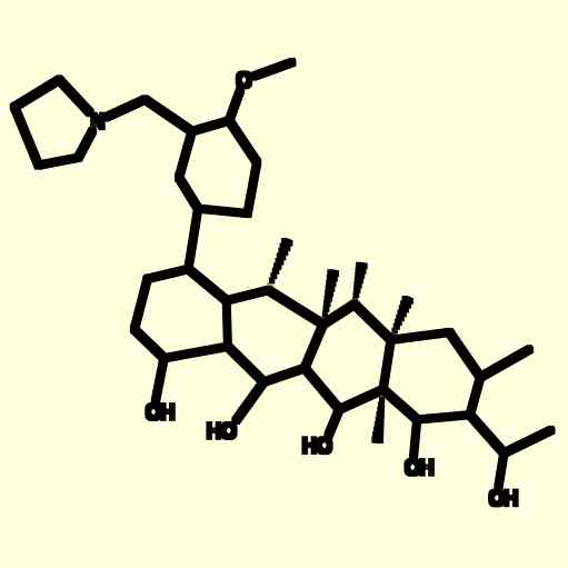 COC1CCC(C2CCC(O)C3C(O)C4C(O)[C@]5(C)C(O)C(C(C)O)C(C)C[C@]5(C)[C@@H](C)[C@]4(C)[C@@H](C)C23)CC1CN1CCCC1